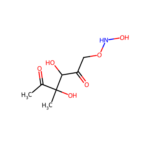 CC(=O)C(C)(O)C(O)C(=O)CONO